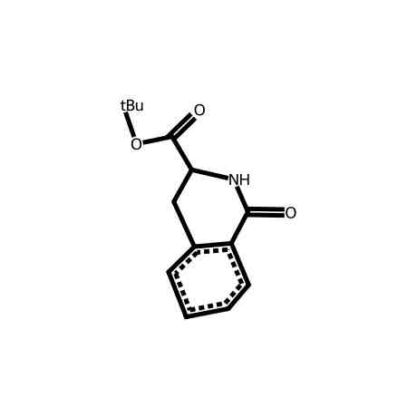 CC(C)(C)OC(=O)C1Cc2ccccc2C(=O)N1